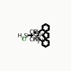 CCCC[Si](C)(C(C)(C)[SiH2]Cl)[Zr]([CH2]c1ccccc1)([CH2]c1ccccc1)[C]1=CC=CC1